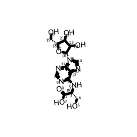 O=C(O)[C@@H](CO)Nc1ncnc2c1ncn2[C@@H]1O[C@H](CO)C(O)C1O